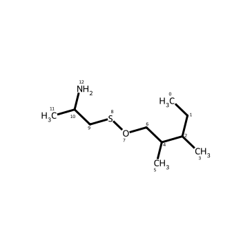 CCC(C)C(C)COSCC(C)N